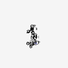 Cc1ccc(-c2cc(C(F)(F)F)nn2-c2ccc(S(=O)(=O)NC(=O)C3CN(/[N+]([O-])=N\OC(C)N4C(=O)c5ccccc5C4=O)C3)cc2)cc1